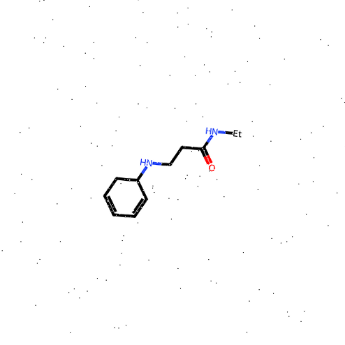 CCNC(=O)CCNC1C=CC=CC1